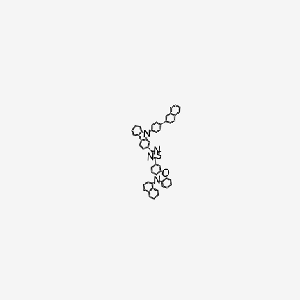 c1ccc2c(c1)Oc1cc(-c3nc(-c4ccc5c6ccccc6n(-c6ccc(-c7ccc8ccccc8c7)cc6)c5c4)ns3)ccc1N2c1cccc2ccccc12